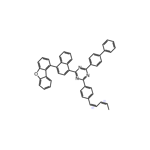 C/C=C\C=C/c1ccc(-c2nc(-c3ccc(-c4ccccc4)cc3)nc(-c3ccc(-c4cccc5oc6ccccc6c45)c4ccccc34)n2)cc1